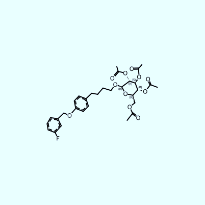 CC(=O)OC[C@H]1O[C@@H](OCCCCc2ccc(OCc3cccc(F)c3)cc2)[C@H](OC(C)=O)[C@@H](OC(C)=O)[C@@H]1OC(C)=O